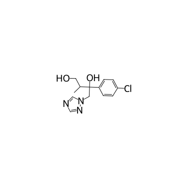 CC(CO)C(O)(Cn1cncn1)c1ccc(Cl)cc1